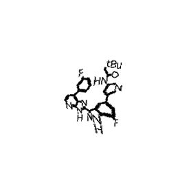 CC(C)(C)CC(=O)Nc1cncc(-c2cc(F)c3[nH]nc(-c4nc5c(-c6cccc(F)c6)ccnc5[nH]4)c3c2)c1